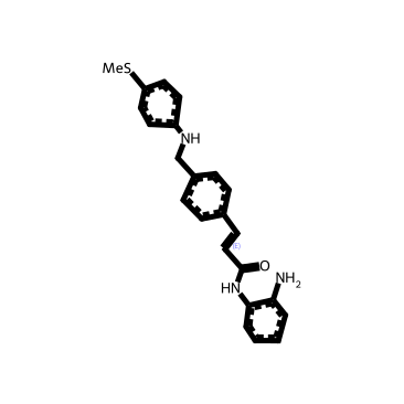 CSc1ccc(NCc2ccc(/C=C/C(=O)Nc3ccccc3N)cc2)cc1